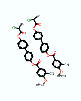 CCCCCCOc1ccc(C(=O)Oc2ccc(-c3ccc(OC(=O)C(Cl)C(C)C)cc3)cc2)cc1C#N.CCCCCOc1ccc(C(=O)Oc2ccc(-c3ccc(OC(=O)C(Cl)C(C)C)cc3)cc2)cc1C#N